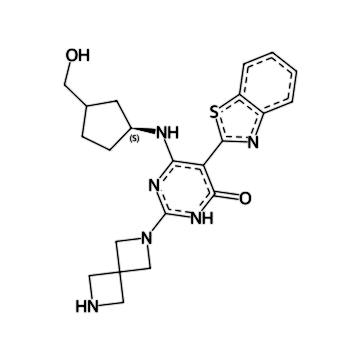 O=c1[nH]c(N2CC3(CNC3)C2)nc(N[C@H]2CCC(CO)C2)c1-c1nc2ccccc2s1